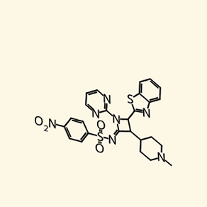 CN1CCC(C2C(=NS(=O)(=O)c3ccc([N+](=O)[O-])cc3)N(c3ncccn3)C2c2nc3ccccc3s2)CC1